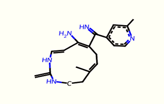 C=C1N/C=C/C(N)=C(/C(=N)c2ccnc(C)c2)C/C=C(\C)CCN1